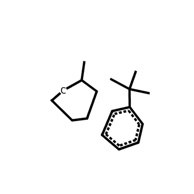 CC(C)(C)c1ccccc1.CC1CCCCC1